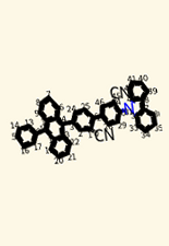 N#Cc1cc(-c2c3ccccc3c(-c3ccccc3)c3ccccc23)ccc1-c1ccc(-n2c3ccccc3c3ccccc32)c(C#N)c1